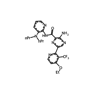 CCCN(CCC)c1cccnc1NC(=O)c1nc(-c2nccc(OCC)c2C(F)(F)F)cnc1N